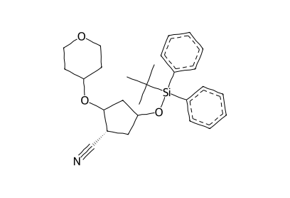 CC(C)(C)[Si](OC1CC(OC2CCOCC2)[C@@H](C#N)C1)(c1ccccc1)c1ccccc1